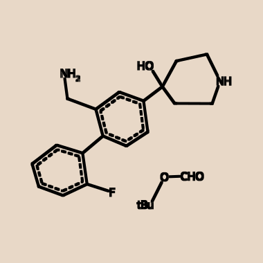 CC(C)(C)OC=O.NCc1cc(C2(O)CCNCC2)ccc1-c1ccccc1F